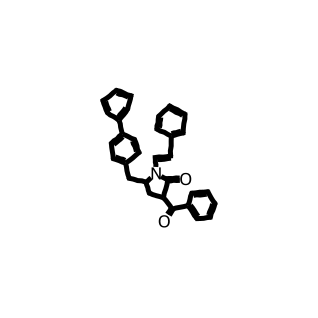 O=C(c1ccccc1)C1CC(Cc2ccc(-c3ccccc3)cc2)N(C=Cc2ccccc2)C1=O